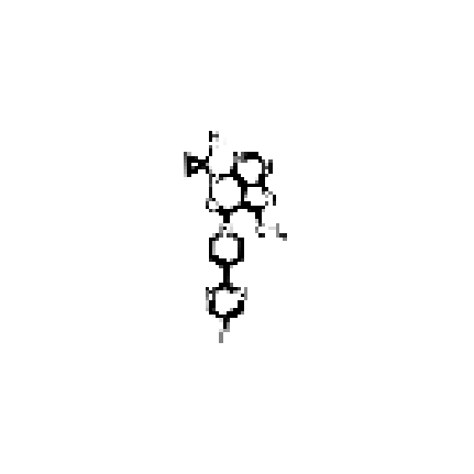 Cc1oc2ncnc(NC3(C)CC3)c2c1C(=O)N1CC=C(c2ncc(F)cn2)CC1